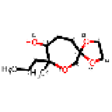 CCCC1(C)OCC2(CCC1O)OCCO2